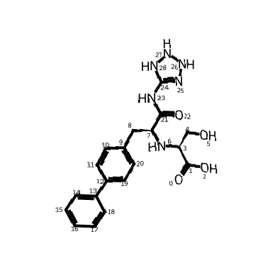 O=C(O)[C@H](CO)N[C@@H](Cc1ccc(-c2ccccc2)cc1)C(=O)NC1=NNNN1